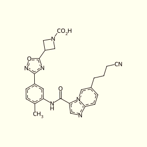 Cc1ccc(-c2noc(C3CN(C(=O)O)C3)n2)cc1NC(=O)c1cnc2ccc(CCCC#N)cn12